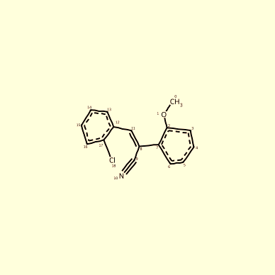 COc1ccccc1C(C#N)=Cc1ccccc1Cl